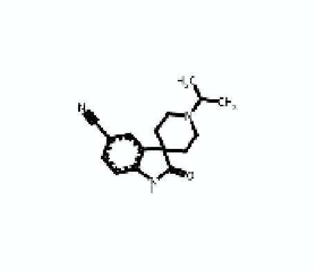 CC(C)N1CCC2(CC1)C(=O)Nc1ccc(C#N)cc12